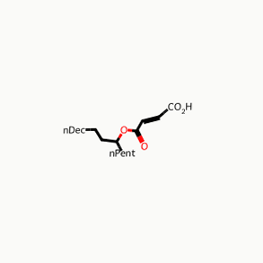 CCCCCCCCCCCCC(CCCCC)OC(=O)C=CC(=O)O